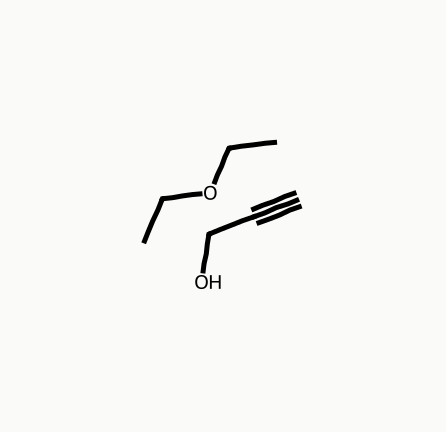 C#CCO.CCOCC